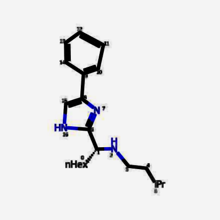 CCCCCC[C@@H](NCCC(C)C)c1nc(-c2ccccc2)c[nH]1